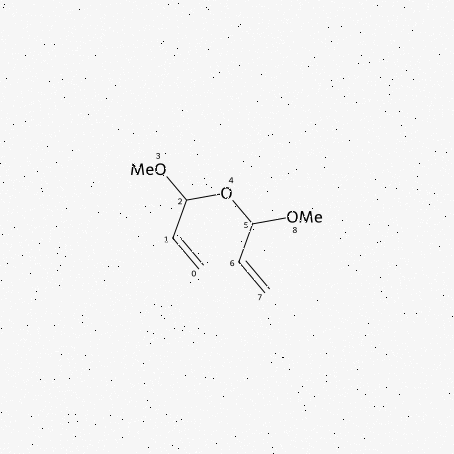 C=CC(OC)OC(C=C)OC